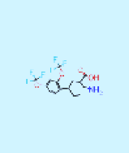 CCC(CC(CN)C(=O)O)c1ccc(OC(F)(F)F)cc1OC(F)(F)F